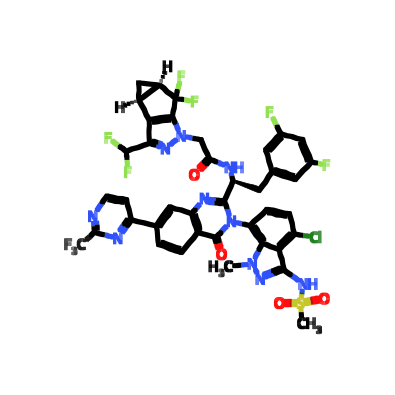 Cn1nc(NS(C)(=O)=O)c2c(Cl)ccc(-n3c([C@H](Cc4cc(F)cc(F)c4)NC(=O)Cn4nc(C(F)F)c5c4C(F)(F)[C@@H]4C[C@H]54)nc4cc(-c5ccnc(C(F)(F)F)n5)ccc4c3=O)c21